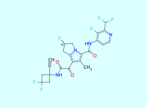 C#CC1(NC(=O)C(=O)c2c(C)c(C(=O)Nc3ccnc(C(F)F)c3F)n3c2C[C@@H](F)C3)CC(F)(F)C1